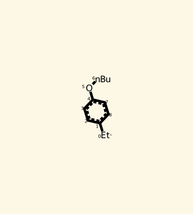 C[CH]c1ccc(OCCCC)cc1